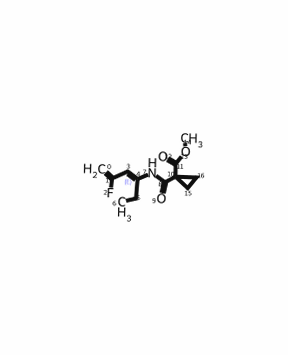 C=C(F)/C=C(\CC)NC(=O)C1(C(=O)OC)CC1